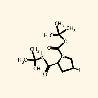 CC(C)(C)NC(=O)[C@@H]1C[C@H](I)CN1C(=O)OC(C)(C)C